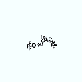 O=C(Nc1c[nH]c2ccc(O[C@H]3C[C@@H](c4ccc(C(F)(F)F)cc4)C3)cc12)C1CN(CC(F)(F)F)C1